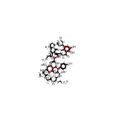 CCCC[C@H](NC(=O)[C@H](CCC(=O)O)NC(=O)[C@H](C)NC(=O)[C@H](CC(C)C)NC(=O)[C@H](CCCC)NC(=O)[C@H](Cc1ccc(O)cc1)NC(=O)[C@H](CCCCN)NC(=O)[C@H](Cc1ccc(O)cc1)NC(=O)[C@@H](NC(=O)[C@H](CS)NC(=O)[C@@H]1CCCN1C(=O)[C@@H](NC(=O)CN)[C@@H](C)O)[C@@H](C)O)C(=O)N[C@@H](CS)C(=O)O